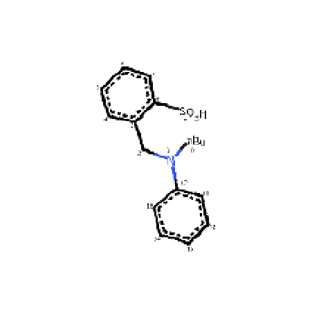 CCCCN(Cc1ccccc1S(=O)(=O)O)c1ccccc1